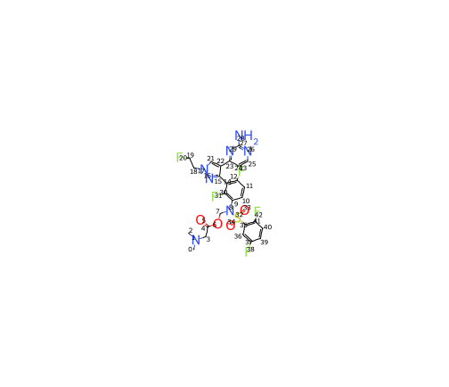 CN(C)CC(=O)OCN(c1ccc(F)c(-c2nn(CCF)cc2-c2ccnc(N)n2)c1F)S(=O)(=O)c1cc(F)ccc1F